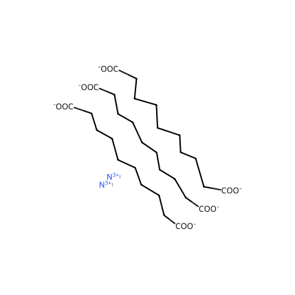 O=C([O-])CCCCCCCCC(=O)[O-].O=C([O-])CCCCCCCCC(=O)[O-].O=C([O-])CCCCCCCCC(=O)[O-].[N+3].[N+3]